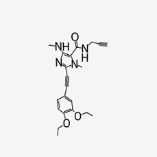 C#CCNC(=O)c1c(NC)nc(C#Cc2ccc(OCC)c(OCC)c2)n1C